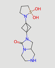 O=C1N2CCNCC2CN1C12CC(N3CCCS3(O)O)(C1)C2